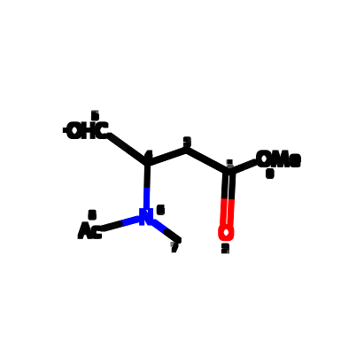 COC(=O)CC([C]=O)N(C)C(C)=O